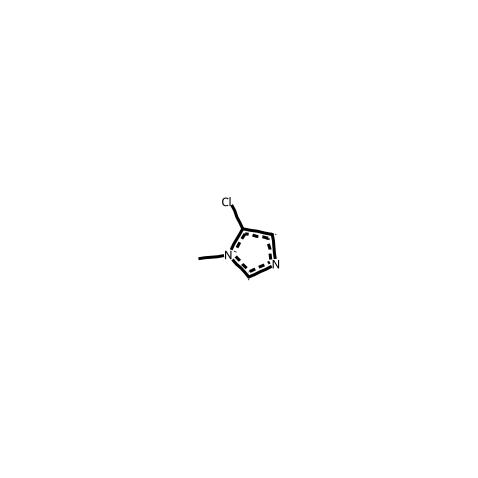 Cn1[c]n[c]c1Cl